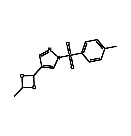 Cc1ccc(S(=O)(=O)n2cc(C3OC(C)O3)cn2)cc1